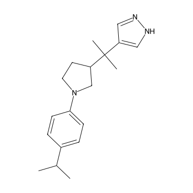 CC(C)c1ccc(N2CCC(C(C)(C)c3cn[nH]c3)C2)cc1